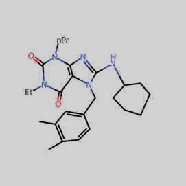 CCCn1c(=O)n(CC)c(=O)c2c1nc(NC1CCCCC1)n2Cc1ccc(C)c(C)c1